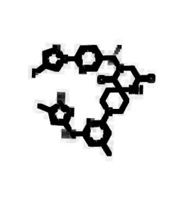 Cc1cc(Nc2cc(C)[nH]n2)nc(N2CCC3(CC2)NC(=O)CN([C@@H](C)c2ccc(-n4cc(F)cn4)nc2)C3=O)c1